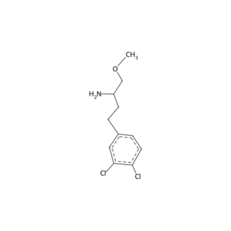 COCC(N)CCc1ccc(Cl)c(Cl)c1